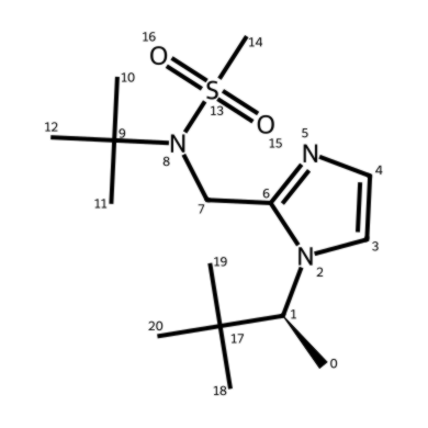 C[C@H](n1ccnc1CN(C(C)(C)C)S(C)(=O)=O)C(C)(C)C